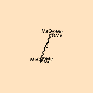 CO[Si](CCCC=COC=CCCC[Si](OC)(OC)OC)(OC)OC